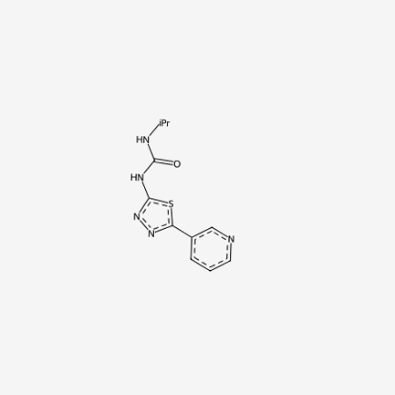 CC(C)NC(=O)Nc1nnc(-c2cccnc2)s1